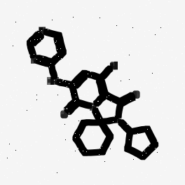 O=C1c2c(Cl)cc(Nc3ccncn3)c(=O)n2C2(CCCCC2)N1C1CCCC1